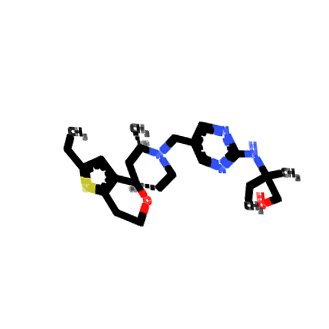 CCc1cc2c(s1)CCO[C@@]21CCN(Cc2cnc(NC(C)(CC)CO)nc2)[C@@H](C)C1